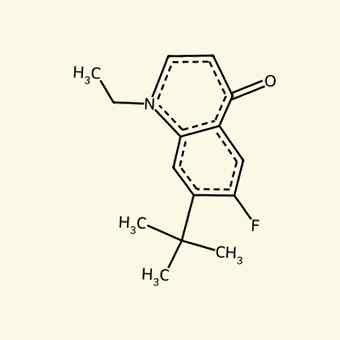 CCn1ccc(=O)c2cc(F)c(C(C)(C)C)cc21